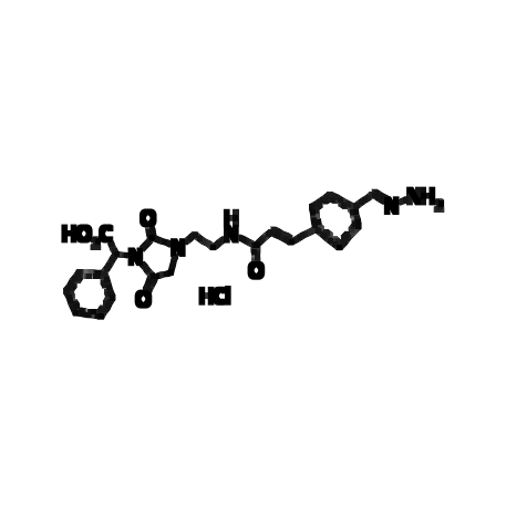 Cl.NN=Cc1ccc(C=CC(=O)NCCN2CC(=O)N(C(C(=O)O)c3ccccc3)C2=O)cc1